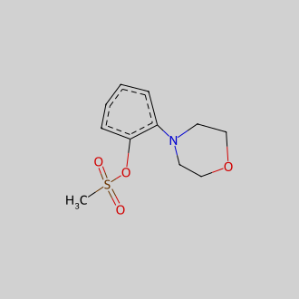 CS(=O)(=O)Oc1ccccc1N1CCOCC1